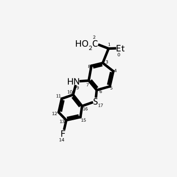 CCC(C(=O)O)c1ccc2c(c1)Nc1ccc(F)cc1S2